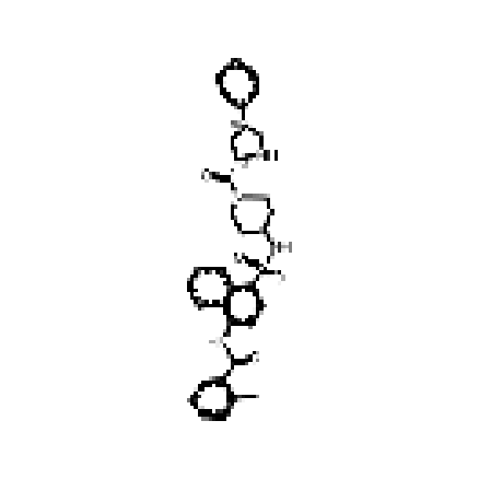 Cc1ccccc1C(=O)Nc1ccc(S(=O)(=O)NC2CCN(C(=O)[C@@H]3C[C@@H](c4ccccc4)CN3)CC2)c2ccccc12